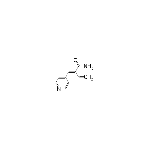 C=C/C(=C\c1ccncc1)C(N)=O